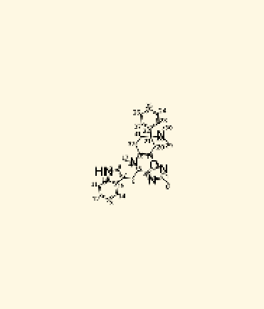 Cc1noc(C(Cc2c[nH]c3ccccc23)N(C)C2CCC(c3ccccc3)(N(C)C)CC2)n1